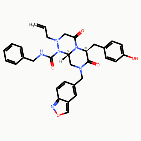 C=CCN1CC(=O)N2[C@@H](Cc3ccc(O)cc3)C(=O)N(Cc3ccc4nocc4c3)C[C@@H]2N1C(=O)NCc1ccccc1